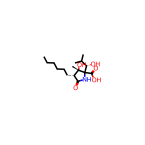 CCCCCC[C@H]1C(=O)NC(C(=O)O)([C@@H](O)C(C)C)[C@@]1(C)O